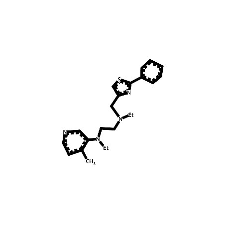 CCN(CCN(CC)c1cnccc1C)Cc1csc(-c2ccccc2)n1